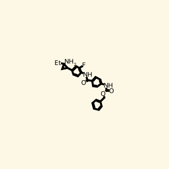 CCC1(N)CC1c1ccc(NC(=O)c2ccc(NC(=O)OCc3ccccc3)cc2)c(F)c1